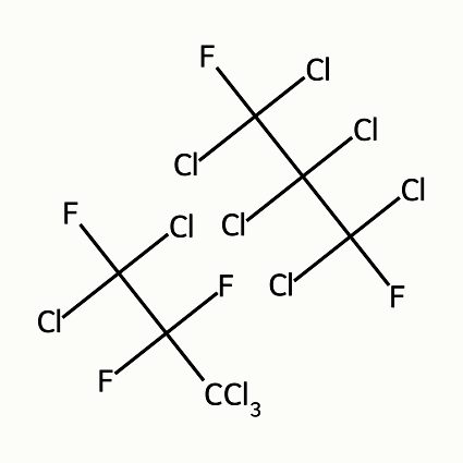 FC(Cl)(Cl)C(Cl)(Cl)C(F)(Cl)Cl.FC(Cl)(Cl)C(F)(F)C(Cl)(Cl)Cl